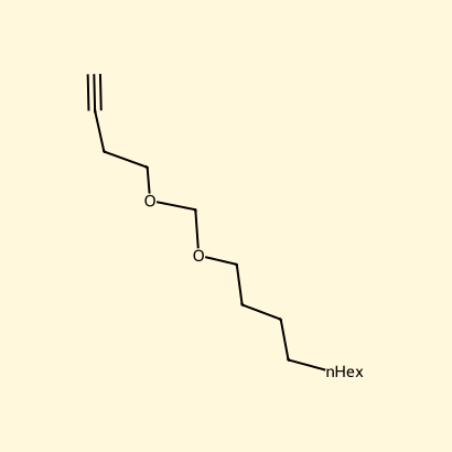 C#CCCOCOCCCCCCCCCC